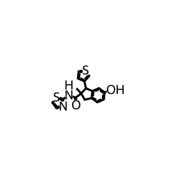 CC1(C(=O)Nc2nccs2)Cc2ccc(O)cc2C1c1ccsc1